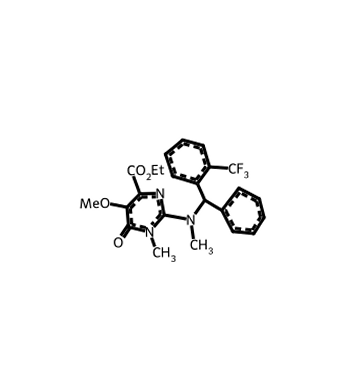 CCOC(=O)c1nc(N(C)C(c2ccccc2)c2ccccc2C(F)(F)F)n(C)c(=O)c1OC